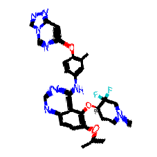 Cc1cc(Nc2ncnc3ccc(OC(C)C)c(O[C@@H]4CCN(C)CC4(F)F)c23)ccc1Oc1cc2nncn2cn1